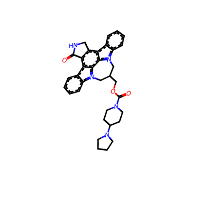 O=C1NCc2c1c1c3ccccc3n3c1c1c2c2ccccc2n1CC(COC(=O)N1CCC(N2CCCC2)CC1)C3